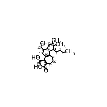 CCCCC(CC)CC1=C(CC(CC)CCCC)C(C(=O)O)=C(C(=O)O)CCC1